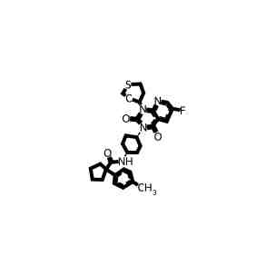 Cc1ccc(C2(C(=O)N[C@H]3CC[C@@H](n4c(=O)c5cc(F)cnc5n(C5CCSCC5)c4=O)CC3)CCCC2)cc1